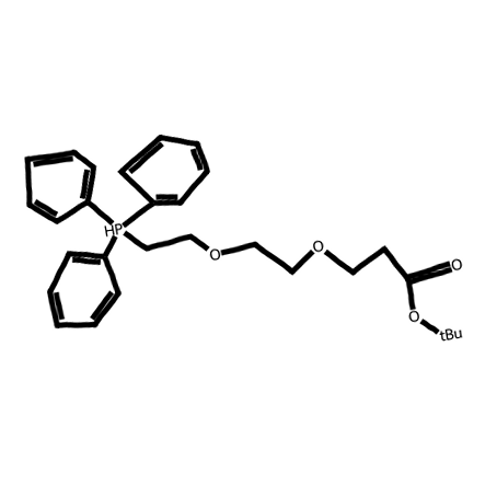 CC(C)(C)OC(=O)CCOCCOCC[PH](c1ccccc1)(c1ccccc1)c1ccccc1